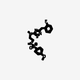 COc1ccc(S(=O)(=O)N(C)CCN(C)c2nc(Cc3ccccc3F)ns2)cc1